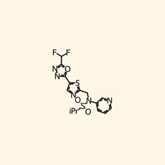 CC(C)S(=O)(=O)N(Cc1ncc(-c2nnc(C(F)F)o2)s1)c1cccnc1